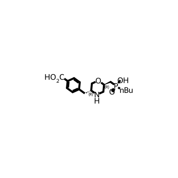 CCCCP(=O)(O)C[C@H]1CN[C@H](Cc2ccc(C(=O)O)cc2)CO1